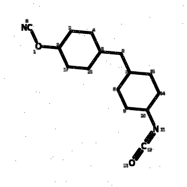 N#COC1CCC(CC2CCC(N=C=O)CC2)CC1